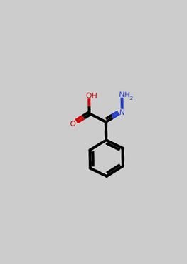 N/N=C(\C(=O)O)c1ccccc1